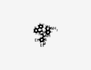 CCOc1cc(CC)cc(C(Nc2ccc3c(N)nccc3c2)c2nc(-c3ccccc3-c3ccccc3)c[nH]2)c1F